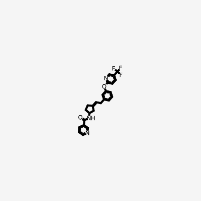 O=C(NC1CCC(=CCc2cccc(Oc3ccc(C(F)(F)F)cn3)c2)C1)c1cccnc1